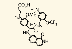 COc1cc(C(Nc2ccc3cc[nH]c(=O)c3c2)C(=O)N[C@H](C)c2cc(N)ccc2OC(F)(F)F)ccc1[C@@H](C)CCC(=O)O